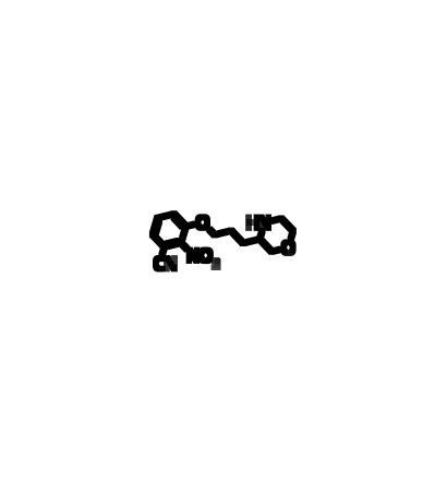 N#Cc1cccc(OCCCC2COCCN2)c1[N+](=O)[O-]